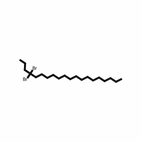 CCCCCCCCCCCCCCCCC(Br)(Br)CCC